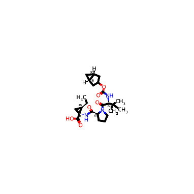 CC[C@@H]1C[C@]1(NC(=O)[C@@H]1CCCN1C(=O)[C@@H](NC(=O)OC1C[C@@H]2C[C@@H]2C1)C(C)(C)C)C(=O)O